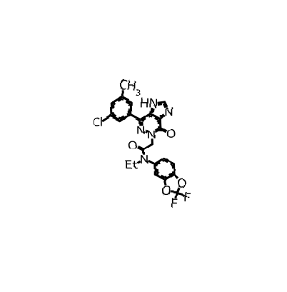 CCN(C(=O)Cn1nc(-c2cc(C)cc(Cl)c2)c2[nH]cnc2c1=O)c1ccc2c(c1)OC(F)(F)O2